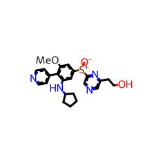 COc1cc([S+]([O-])c2cncc(CCO)n2)cc(NC2CCCC2)c1-c1ccncc1